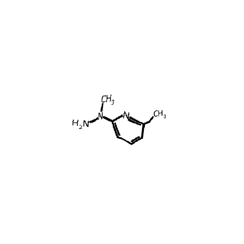 Cc1cccc(N(C)N)n1